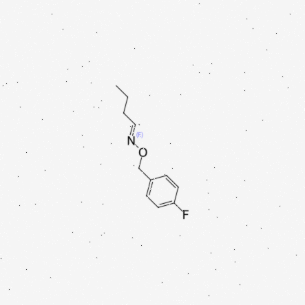 CCC/[C]=N/OCc1ccc(F)cc1